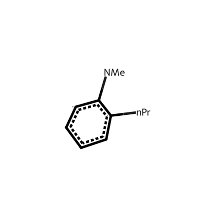 CCCc1ccc[c]c1NC